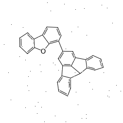 c1ccc2c(c1)-c1cc(-c3cccc4c3oc3ccccc34)cc3c1C2c1ccccc1-3